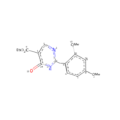 CCOC(=O)c1cnc(-c2ccc(OC)cc2OC)[nH]c1=O